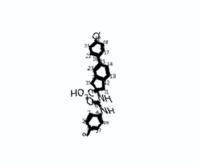 Cc1ccc(NC(=O)NC2(C(=O)O)Cc3ccc(-c4ccc(Cl)cc4)cc3C2)cc1